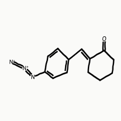 [N-]=[N+]=Nc1ccc(C=C2CCCCC2=O)cc1